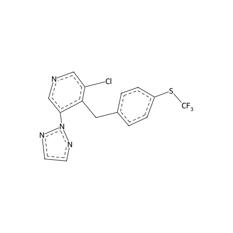 FC(F)(F)Sc1ccc(Cc2c(Cl)cncc2-n2nccn2)cc1